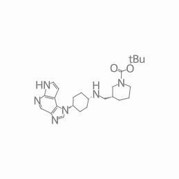 CC(C)(C)OC(=O)N1CCC[C@@H](CN[C@H]2CC[C@H](n3cnc4cnc5[nH]ccc5c43)CC2)C1